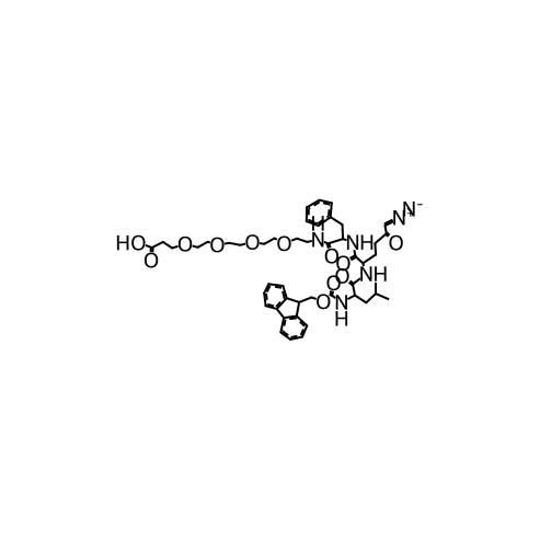 CC(C)CC(NC(=O)OCC1c2ccccc2-c2ccccc21)C(=O)NC(CCC(=O)C=[N+]=[N-])C(=O)NC(Cc1ccccc1)C(=O)NCCOCCOCCOCCOCCC(=O)O